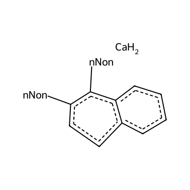 CCCCCCCCCc1ccc2ccccc2c1CCCCCCCCC.[CaH2]